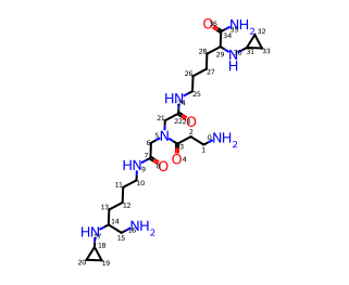 NCCC(=O)N(CC(=O)NCCCCC(CN)NC1CC1)CC(=O)NCCCCC(NC1CC1)C(N)=O